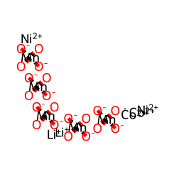 [Co+2].[Co+2].[Li+].[Li+].[Ni+2].[Ni+2].[O]=[Mn](=[O])([O-])[O-].[O]=[Mn](=[O])([O-])[O-].[O]=[Mn](=[O])([O-])[O-].[O]=[Mn](=[O])([O-])[O-].[O]=[Mn](=[O])([O-])[O-]